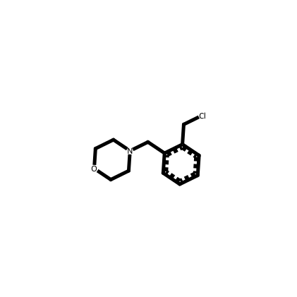 ClCc1ccccc1CN1CCOCC1